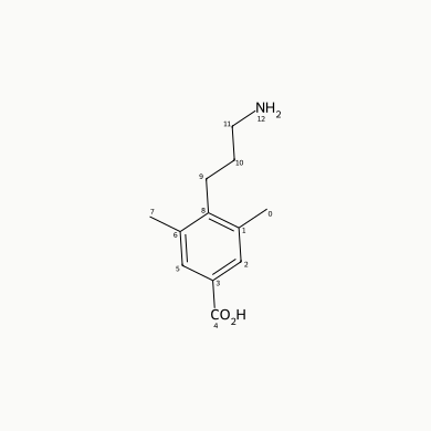 Cc1cc(C(=O)O)cc(C)c1CCCN